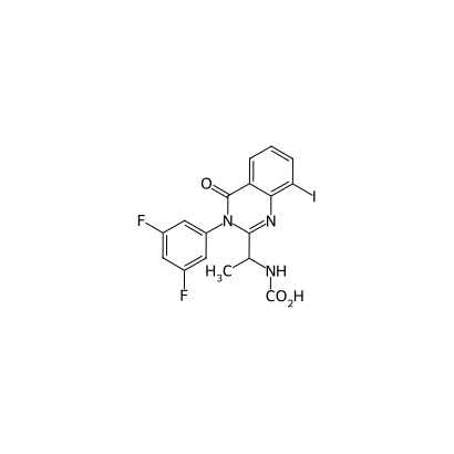 CC(NC(=O)O)c1nc2c(I)cccc2c(=O)n1-c1cc(F)cc(F)c1